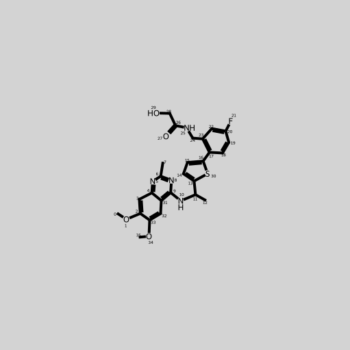 COc1cc2nc(C)nc(NC(C)c3ccc(-c4ccc(F)cc4CNC(=O)CO)s3)c2cc1OC